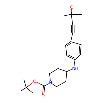 CC(C)(O)C#Cc1ccc(NC2CCN(C(=O)OC(C)(C)C)CC2)cc1